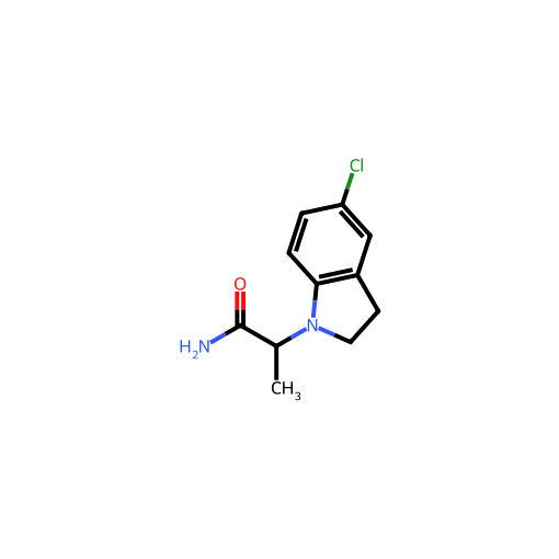 CC(C(N)=O)N1CCc2cc(Cl)ccc21